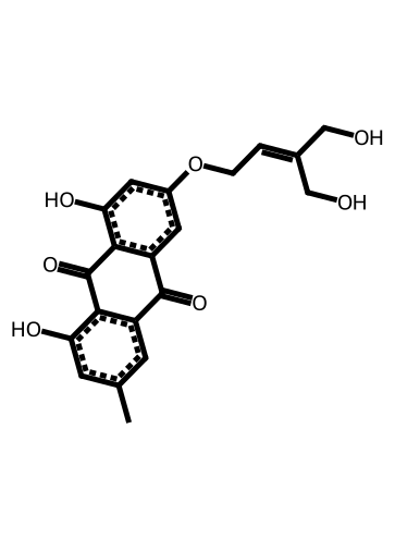 Cc1cc(O)c2c(c1)C(=O)c1cc(OCC=C(CO)CO)cc(O)c1C2=O